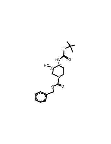 CC(C)(C)OC(=O)N[C@@H]1CCN(C(=O)OCc2ccccc2)C[C@@H]1O